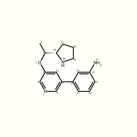 CC(Oc1cncc(-c2cccc(N)c2)c1)[C@@H]1CCCN1